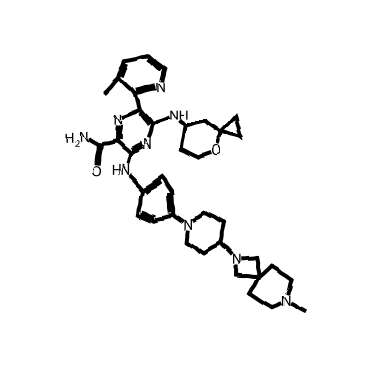 Cc1cccnc1-c1nc(C(N)=O)c(Nc2ccc(N3CCC(N4CC5(CCN(C)CC5)C4)CC3)cc2)nc1NC1CCOC2(CC2)C1